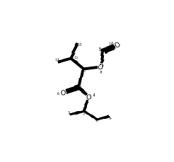 CCC(C)OC(=O)C(O[C]=O)C(C)C